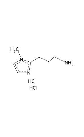 Cl.Cl.Cn1ccnc1CCCN